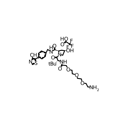 Cc1ncsc1-c1ccc(CNC(=O)[C@H]2C[C@H](O)CN2C(=O)[C@H](NC(=O)COCCOCCOCCN)C(C)(C)C)cc1.O=C(O)C(F)(F)F